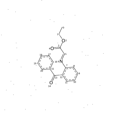 CCOC(=O)C=Nc1ccccc1C(=O)c1ccccc1